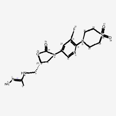 C/C(=N\C#N)NC[C@H]1CN(c2cnc(N3CCS(=O)(=O)CC3)c(F)c2)C(=O)O1